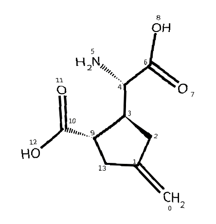 C=C1C[C@H]([C@H](N)C(=O)O)[C@@H](C(=O)O)C1